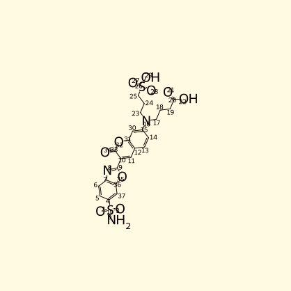 NS(=O)(=O)c1ccc2nc(-c3cc4ccc(N(CCCC(=O)O)CCCS(=O)(=O)O)cc4oc3=O)oc2c1